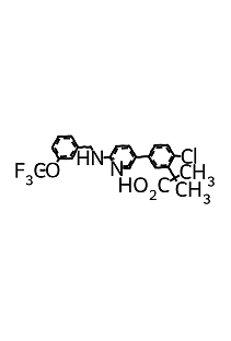 CC(C)(C(=O)O)c1cc(-c2ccc(NCc3cccc(OC(F)(F)F)c3)nc2)ccc1Cl